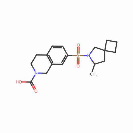 CC1CC2(CCC2)CN1S(=O)(=O)c1ccc2c(c1)CN(C(=O)O)CC2